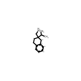 CC(C)C1(CN)CCc2ccccc2C1